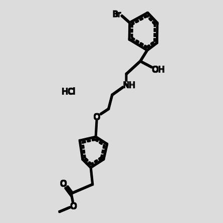 COC(=O)Cc1ccc(OCCNCC(O)c2cccc(Br)c2)cc1.Cl